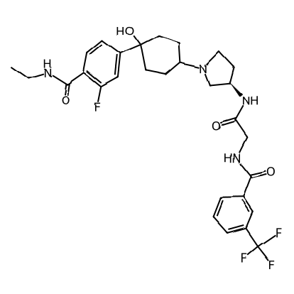 CCNC(=O)c1ccc(C2(O)CCC(N3CC[C@@H](NC(=O)CNC(=O)c4cccc(C(F)(F)F)c4)C3)CC2)cc1F